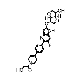 O=C(CO)N1CC=C(c2ccc(-c3nc4cc(O[C@@H]5CO[C@H]6[C@@H]5OC[C@H]6O)[nH]c4cc3F)cc2)CC1